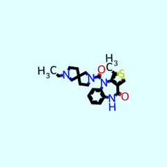 CCN1CCC2(CCN(C(=O)N3c4ccccc4NC(=O)c4csc(C)c43)C2)C1